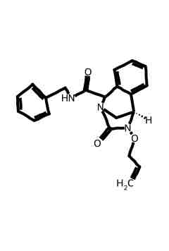 C=CCON1C(=O)N2C[C@H]1c1ccccc1C2C(=O)NCc1ccccc1